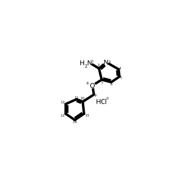 Cl.Nc1ncccc1OCc1ccccc1